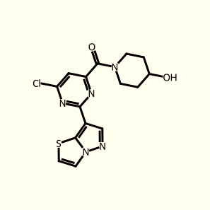 O=C(c1cc(Cl)nc(-c2cnn3ccsc23)n1)N1CCC(O)CC1